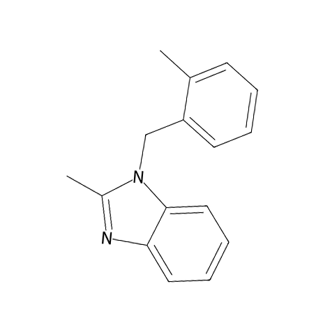 Cc1ccccc1Cn1c(C)nc2ccccc21